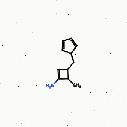 CC1C(N)=CC1CC1C=CC=C1